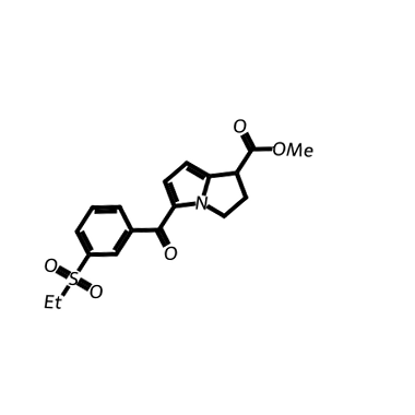 CCS(=O)(=O)c1cccc(C(=O)c2ccc3n2CCC3C(=O)OC)c1